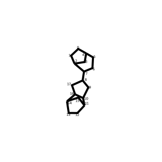 C1CC2CC1CCC2C1CC2C3CCC(C3)C2C1